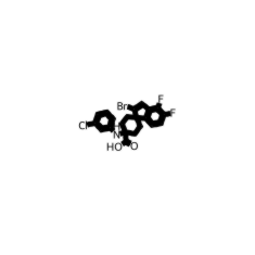 O=C(O)C1(Nc2cccc(Cl)c2)CCC2(CC1)C(Br)=Cc1c2ccc(F)c1F